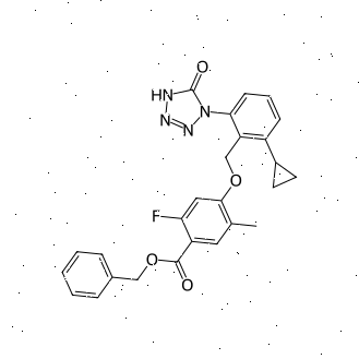 Cc1cc(C(=O)OCc2ccccc2)c(F)cc1OCc1c(C2CC2)cccc1-n1nn[nH]c1=O